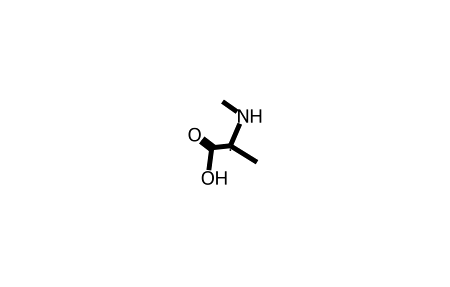 CN[C](C)C(=O)O